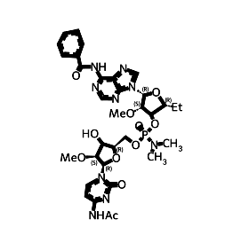 CC[C@H]1O[C@@H](n2cnc3c(NC(=O)c4ccccc4)ncnc32)[C@@H](OC)C1OP(=O)(OC[C@H]1O[C@@H](n2ccc(NC(C)=O)nc2=O)[C@@H](OC)C1O)N(C)C